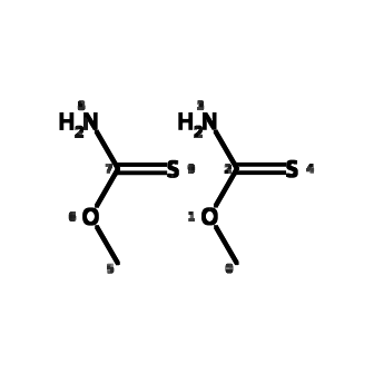 COC(N)=S.COC(N)=S